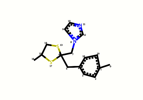 Cc1ccc(CC2(Cn3ccnc3)SCC(C)S2)cc1